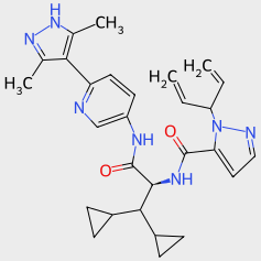 C=CC(C=C)n1nccc1C(=O)N[C@H](C(=O)Nc1ccc(-c2c(C)n[nH]c2C)nc1)C(C1CC1)C1CC1